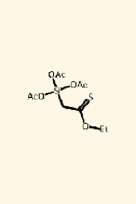 CCOC(=S)C[Si](OC(C)=O)(OC(C)=O)OC(C)=O